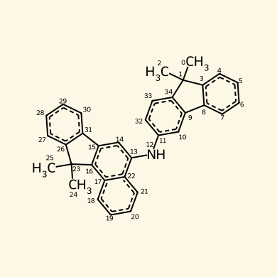 CC1(C)c2ccccc2-c2cc(Nc3cc4c(c5ccccc35)C(C)(C)c3ccccc3-4)ccc21